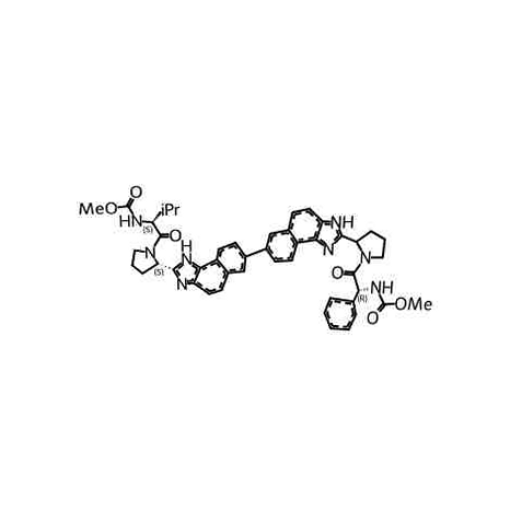 COC(=O)N[C@H](C(=O)N1CCC[C@H]1c1nc2ccc3cc(-c4ccc5c(ccc6[nH]c(C7CCCN7C(=O)[C@H](NC(=O)OC)c7ccccc7)nc65)c4)ccc3c2[nH]1)C(C)C